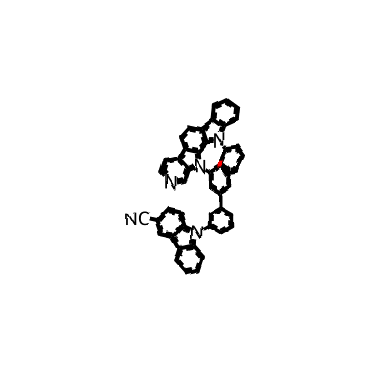 N#Cc1ccc2c(c1)c1ccccc1n2-c1cccc(-c2cccc(-n3c4cnccc4c4ccc5c6ccccc6n(-c6ccccc6)c5c43)c2)c1